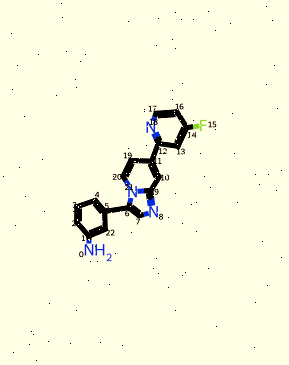 Nc1cccc(-c2cnc3cc(-c4cc(F)ccn4)ccn23)c1